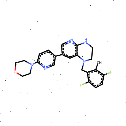 N#Cc1c(F)ccc(F)c1CN1CCNc2ncc(-c3ccc(N4CCOCC4)nc3)cc21